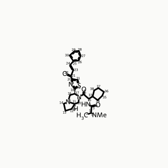 CN[C@@H](C)C(=O)N[C@H](C(=O)N1C[C@H]2CCCN2C[C@H]1c1nc(C(=O)/C=C/c2ccccc2)cs1)C1CCCCC1